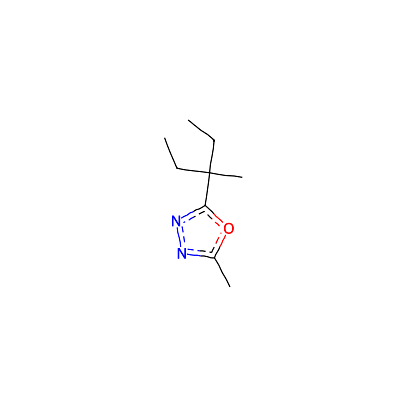 CCC(C)(CC)c1nnc(C)o1